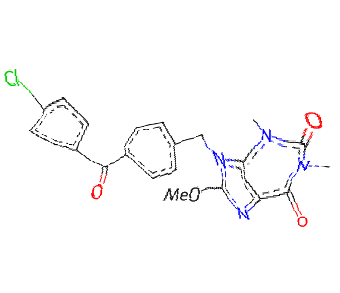 COc1nc2c(=O)n(C)c(=O)n(C)c2n1Cc1ccc(C(=O)c2ccc(Cl)cc2)cc1